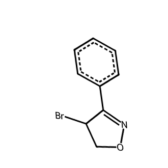 BrC1CON=C1c1ccccc1